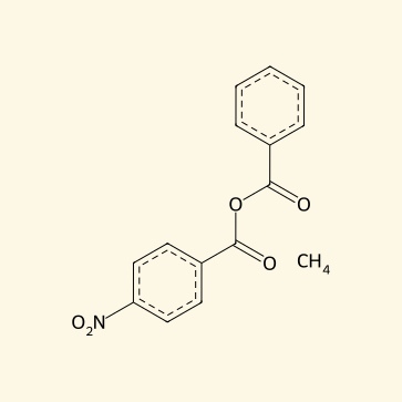 C.O=C(OC(=O)c1ccc([N+](=O)[O-])cc1)c1ccccc1